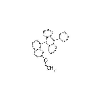 C=COc1ccc2cccc(-c3c4ccccc4c(-c4ccccc4)c4ccccc34)c2c1